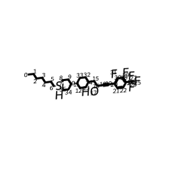 CCCCCCC[Si@H]1CC[C@H](C2CCC(CC(O)C#Cc3ccc(C(F)(F)F)c(F)c3F)CC2)CC1